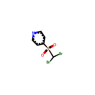 O=S(=O)(c1ccncc1)C(Br)Br